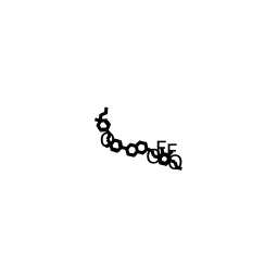 CCCC1(C)C=CC(COC2(C)C=CC(C3CCC4CC(COc5ccc(OCC)c(F)c5F)CCC4C3)=CC2)=CC1